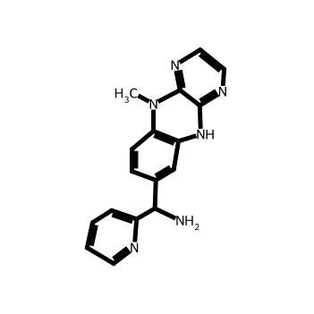 CN1c2ccc(C(N)c3ccccn3)cc2Nc2nccnc21